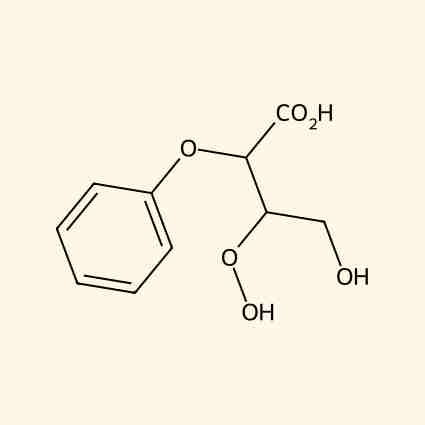 O=C(O)C(Oc1ccccc1)C(CO)OO